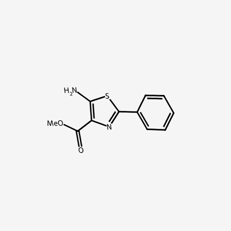 COC(=O)c1nc(-c2ccccc2)sc1N